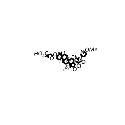 CCn1c([C@@]23CC[C@]4(C)[C@H](CC[C@@H]5[C@@]6(C)CC[C@H](OC(=O)CC(C)(C)C(=O)O)C(C)(C)[C@@H]6CC[C@]54C)C2=C(C(C)C)C(=O)C3)c(Cl)c(=O)n1-c1ccc(OC)nc1